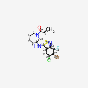 C=CC(=O)N1CCCC[C@@H](Nc2snc3c(F)c(Br)c(Cl)cc23)C1